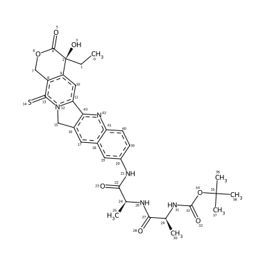 CC[C@@]1(O)C(=O)OCc2c1cc1n(c2=S)Cc2cc3cc(NC(=O)[C@H](C)NC(=O)[C@H](C)NC(=O)OC(C)(C)C)ccc3nc2-1